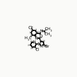 Cc1cc(Cl)cc2c(=NC(C)C)oc(-c3cc(Br)nn3-c3ncccc3Cl)nc12